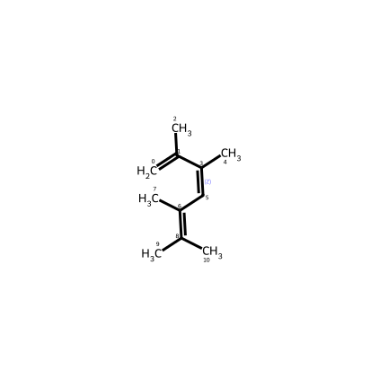 C=C(C)/C(C)=C\C(C)=C(C)C